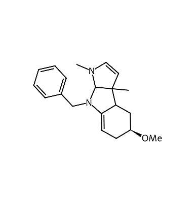 CO[C@H]1CC=C2C(C1)C1(C)C=CN(C)C1N2Cc1ccccc1